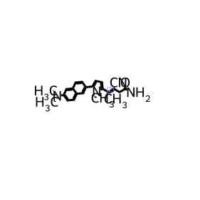 C/C(=C(/C#N)CC(N)=O)c1ccc(-c2ccc3cc(N(C)C)ccc3c2)n1C